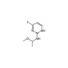 COC(C)NN1N=C(F)C=[C]N1